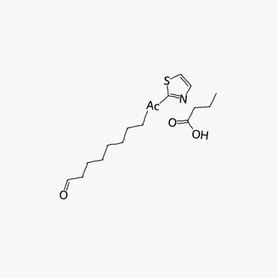 CC(=O)c1nccs1.CCCC(=O)O.CCCCCCCCC=O